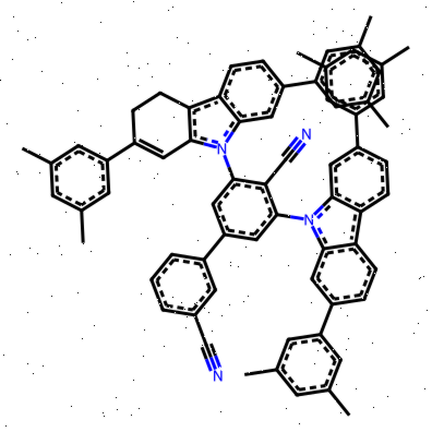 Cc1cc(C)cc(C2=Cc3c(c4ccc(-c5cc(C)cc(C)c5)cc4n3-c3cc(-c4cccc(C#N)c4)cc(-n4c5cc(-c6cc(C)cc(C)c6)ccc5c5ccc(-c6cc(C)cc(C)c6)cc54)c3C#N)CC2)c1